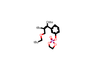 COC(=C(COCC(C)(C)C)C(C)(C)C)c1cccc(OP2(=O)OCCO2)c1